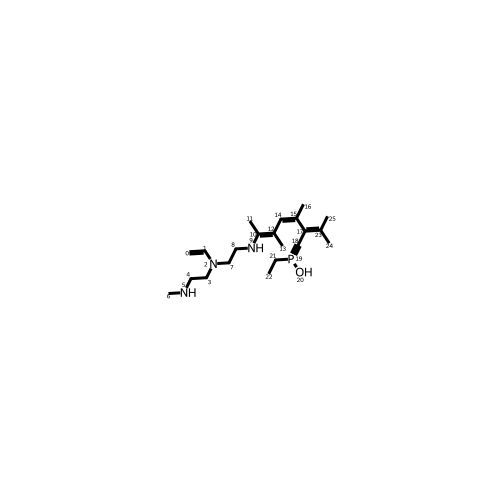 C=CN(CCNC)CCN/C(C)=C(C)/C=C(/C)C(C#P(O)CC)=C(C)C